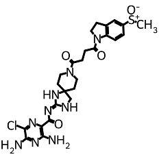 C[S+]([O-])c1ccc2c(c1)CCN2C(=O)CCC(=O)N1CCC2(CC1)CN/C(=N\C(=O)c1nc(Cl)c(N)nc1N)N2